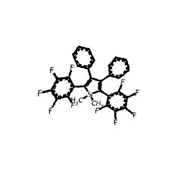 C[Si]1(C)C(c2c(F)c(F)c(F)c(F)c2F)=C(c2ccccc2)C(c2ccccc2)=C1c1c(F)c(F)c(F)c(F)c1F